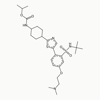 CC(C)OC(=O)NC1CCC(c2ncc(-c3ccc(OCCN(C)C)cc3S(=O)(=O)NC(C)(C)C)s2)CC1